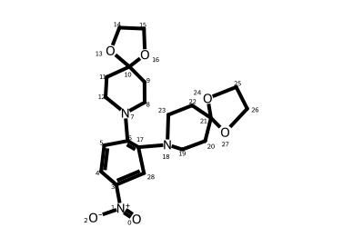 O=[N+]([O-])c1ccc(N2CCC3(CC2)OCCO3)c(N2CCC3(CC2)OCCO3)c1